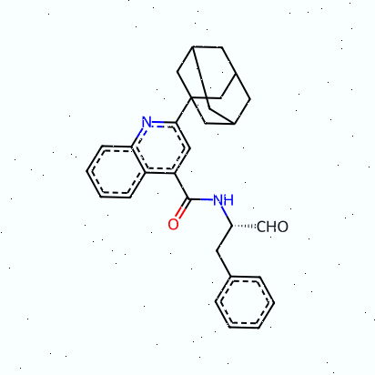 O=C[C@H](Cc1ccccc1)NC(=O)c1cc(C23CC4CC(CC(C4)C2)C3)nc2ccccc12